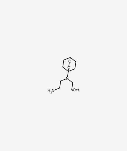 CCCCCCCCCN(CCN)C12CCC(CC1)CC2